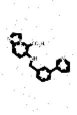 O=C(O)c1c(NCc2cccc(-c3cccnc3)c2)ccc2nccn12